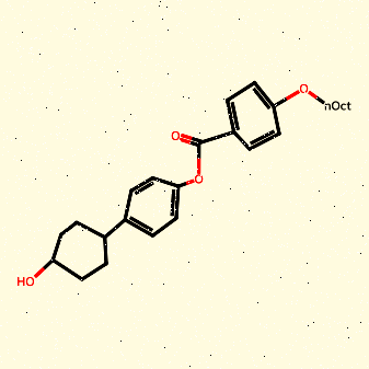 CCCCCCCCOc1ccc(C(=O)Oc2ccc(C3CCC(O)CC3)cc2)cc1